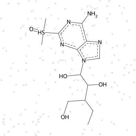 CCC(CO)C(O)C(O)n1cnc2c(N)nc([SH](C)(C)=O)nc21